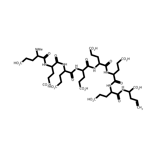 C=CCC(NC(=O)C(CCC(=O)O)NC(=O)C(CCC(=O)O)NC(=O)C(CCC(=O)O)NC(=O)C(CCC(=O)O)NC(=O)C(CCC(=O)O)NC(=O)C(CCC(=O)O)NC(=O)C(CCC(=O)O)NC)C(=O)O